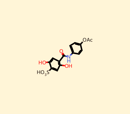 CC(=O)Oc1ccc(NC(=O)c2cc(O)c(S(=O)(=O)O)cc2O)cc1